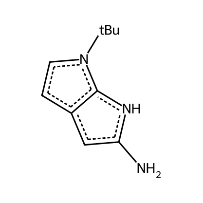 CC(C)(C)n1ccc2cc(N)[nH]c21